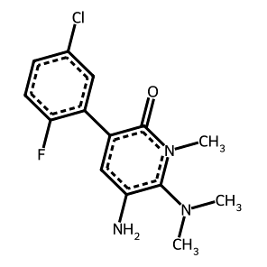 CN(C)c1c(N)cc(-c2cc(Cl)ccc2F)c(=O)n1C